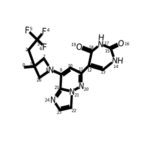 CC1(CC(F)(F)F)CN(c2cc(-c3c[nH]c(=O)[nH]c3=O)nn3ccnc23)C1